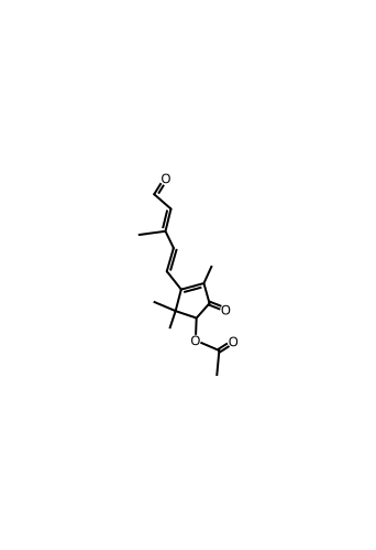 CC(=O)OC1C(=O)C(C)=C(/C=C/C(C)=C/C=O)C1(C)C